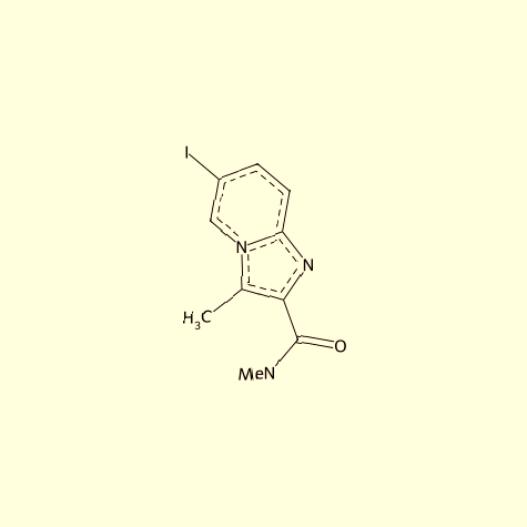 CNC(=O)c1nc2ccc(I)cn2c1C